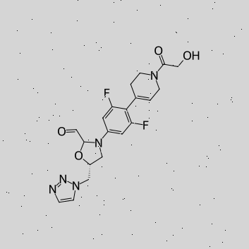 O=CC1O[C@@H](Cn2ccnn2)CN1c1cc(F)c(C2=CCN(C(=O)CO)CC2)c(F)c1